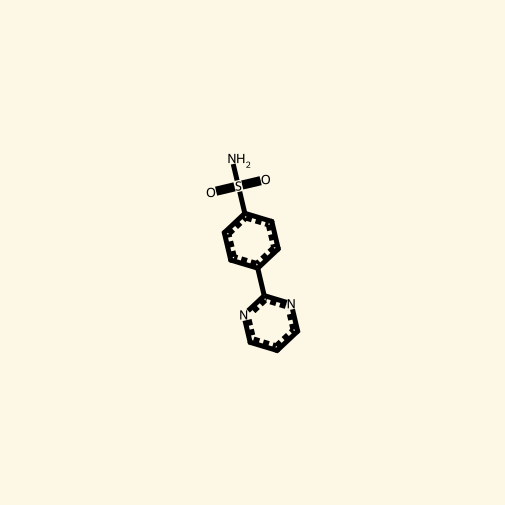 NS(=O)(=O)c1ccc(-c2ncccn2)cc1